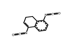 O=C=NC1=CCCc2c(N=C=O)cccc21